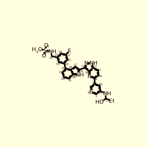 CCC(O)Nc1cncc(-c2ccc3[nH]nc(-c4cc5c(-c6cc(F)cc(CNS(C)(=O)=O)c6)cccc5[nH]4)c3n2)c1